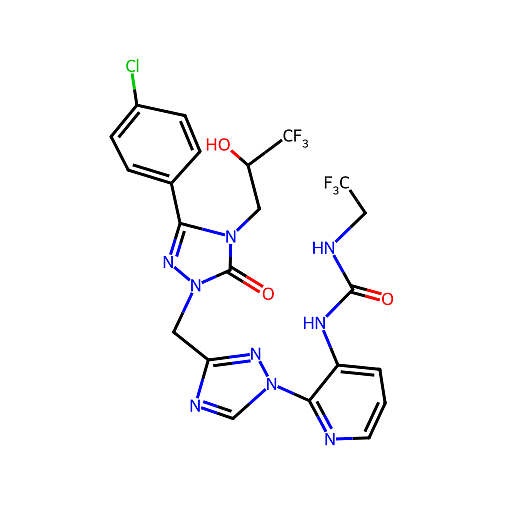 O=C(NCC(F)(F)F)Nc1cccnc1-n1cnc(Cn2nc(-c3ccc(Cl)cc3)n(CC(O)C(F)(F)F)c2=O)n1